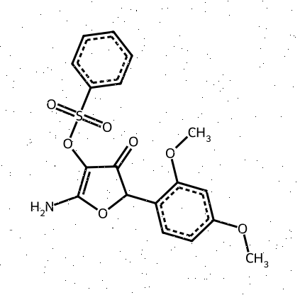 COc1ccc(C2OC(N)=C(OS(=O)(=O)c3ccccc3)C2=O)c(OC)c1